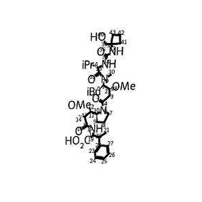 CC[C@H](C)[C@@H]([C@@H](CC(=O)N1CCC[C@H]1[C@H](OC)[C@@H](C)C(=O)NC(C(=O)O)C(C)c1ccccc1)OC)N(C)C(=O)[C@@H](NC(=O)NC1(CO)CCC1)C(C)C